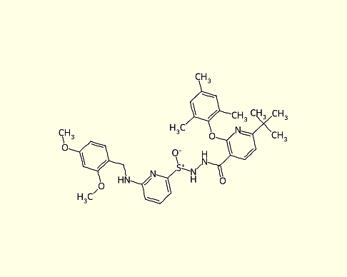 COc1ccc(CNc2cccc([S+]([O-])NNC(=O)c3ccc(C(C)(C)C)nc3Oc3c(C)cc(C)cc3C)n2)c(OC)c1